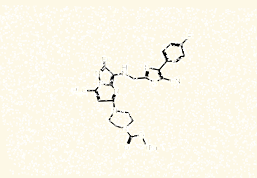 CCc1nn2c(C)cc(N3CCN(C(=O)OC(C)(C)C)CC3)nc2c1NCc1nc(-c2ccc(F)cc2)c(C#N)s1